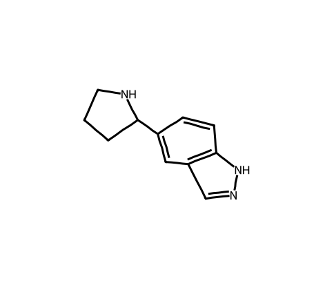 c1cc2[nH]ncc2cc1C1CCCN1